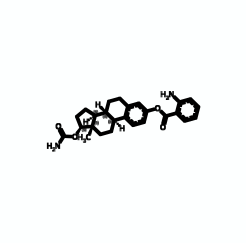 C[C@]12CC[C@@H]3c4ccc(OC(=O)c5ccccc5N)cc4CC[C@H]3[C@@H]1CC[C@@H]2OC(N)=O